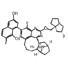 N#Cc1c(F)ccc2cc(O)cc(-c3nc4c5c(nc(OC[C@@]67CCCN6C[C@H](F)C7)nc5c3F)N3C[C@H]5CC[C@H](N5)[C@H]3CCC4)c12